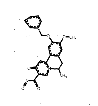 COc1cc2c(cc1OCc1ccccc1)-c1cc(=O)c(C(=O)N=O)cn1C(C)C2